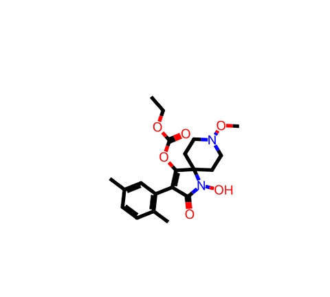 CCOC(=O)OC1=C(c2cc(C)ccc2C)C(=O)N(O)C12CCN(OC)CC2